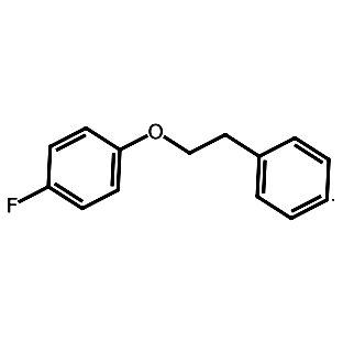 Fc1ccc(OCCc2cc[c]cc2)cc1